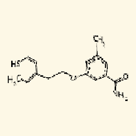 C/C=C(\C=C/S)CCOc1cc(C)cc(C(N)=O)c1